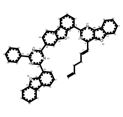 C=CCC/C=C/c1nc(-c2cccc3c2sc2cc(-c4nc(-c5ccccc5)nc(-c5cccc6c5oc5ccccc56)n4)ccc23)nc2c1oc1ccccc12